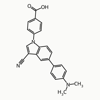 CN(C)c1ccc(-c2ccc3c(c2)c(C#N)cn3-c2ccc(C(=O)O)cc2)cc1